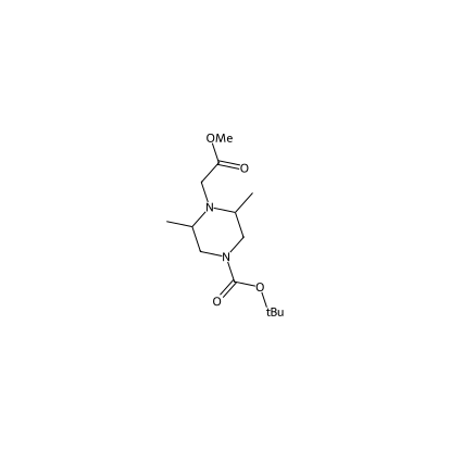 COC(=O)CN1C(C)CN(C(=O)OC(C)(C)C)CC1C